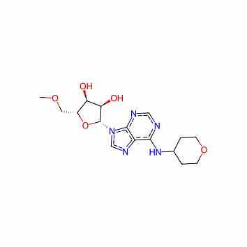 COC[C@H]1O[C@@H](n2cnc3c(NC4CCOCC4)ncnc32)[C@H](O)[C@@H]1O